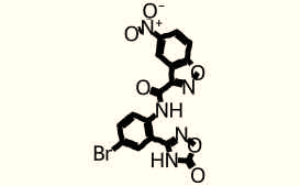 O=C(Nc1ccc(Br)cc1-c1noc(=O)[nH]1)c1noc2ccc([N+](=O)[O-])cc12